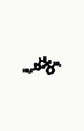 CC(NS(=O)(=O)c1ccccc1[N+](=O)[O-])c1ccc(C(=O)O)o1